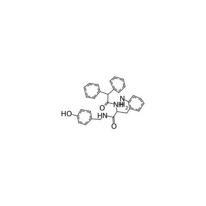 Nc1ccccc1CC(NC(=O)C(c1ccccc1)c1ccccc1)C(=O)NCc1ccc(O)cc1